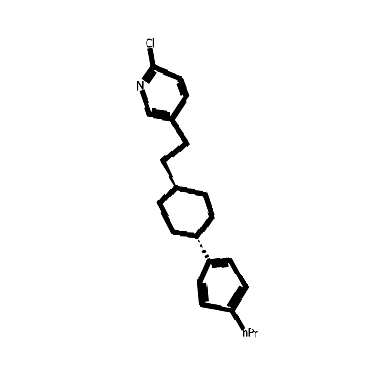 CCCc1ccc([C@H]2CC[C@H](CCc3ccc(Cl)nc3)CC2)cc1